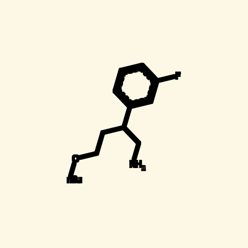 CCCCOCCC(CN)c1cccc(F)c1